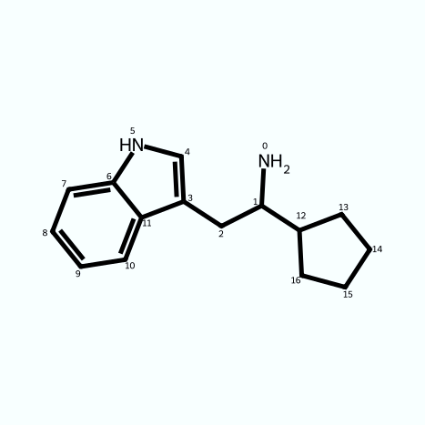 NC(Cc1c[nH]c2ccccc12)C1CCCC1